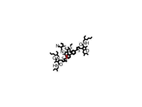 C=CC(SC[C@@H](C(C)(C)SCC)[C@@](CC)(c1cc(-c2ccc(C3=C(C(=O)NCC(C)CC)C(C)C(=O)N3CC(CC)CCCC)s2)ccc1-c1ccc(-c2ccc(C3=C(C(=O)NCC(CC)CCCC)C(C)C(=O)C3CC(C)CC)s2)cc1C)[C@@H](C)[C@H](C)[C@@H]1SC1OC)=C(C#N)C#N